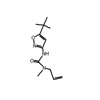 C=CCN(C)C(=O)Nc1cc(C(C)(C)C)on1